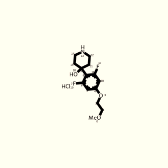 COCCOc1cc(F)c(C2(O)CCNCC2)c(F)c1.Cl